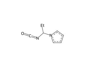 CCC(N=C=O)n1cccc1